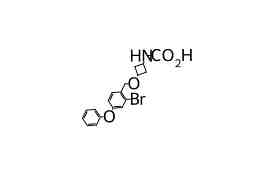 O=C(O)N[C@H]1C[C@H](OCc2ccc(Oc3ccccc3)cc2Br)C1